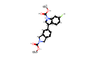 CC(C)(C)OC(=O)N1Cc2ccc(-c3cn(C(=O)OC(C)(C)C)c4cc(F)ccc34)cc2C1